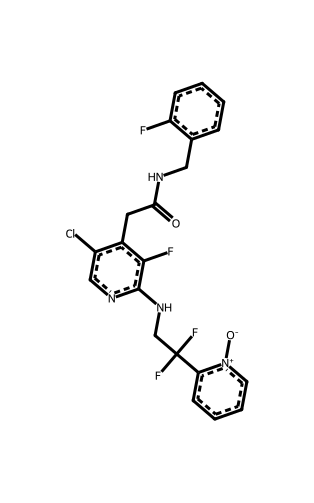 O=C(Cc1c(Cl)cnc(NCC(F)(F)c2cccc[n+]2[O-])c1F)NCc1ccccc1F